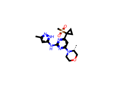 Cc1cc(Nc2nc(N3CCOC[C@H]3C)cc(C3(S(C)(=O)=O)CC3)n2)[nH]n1